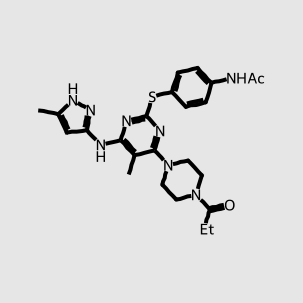 CCC(=O)N1CCN(c2nc(Sc3ccc(NC(C)=O)cc3)nc(Nc3cc(C)[nH]n3)c2C)CC1